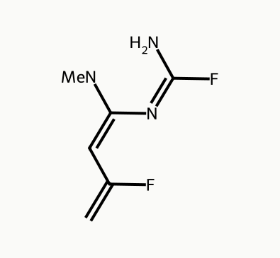 C=C(F)/C=C(\N=C(/N)F)NC